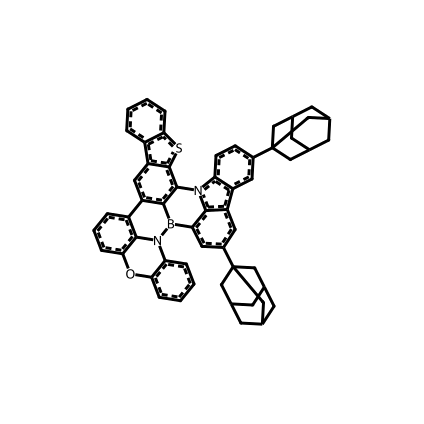 c1ccc2c(c1)Oc1cccc3c1N2B1c2c-3cc3c(sc4ccccc43)c2-n2c3ccc(C45CC6CC(CC(C6)C4)C5)cc3c3cc(C45CC6CC(CC(C6)C4)C5)cc1c32